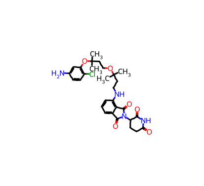 CC(C)(CCNc1cccc2c1C(=O)N(C1CCC(=O)NC1=O)C2=O)OCCC(C)(C)Oc1cc(N)ccc1Cl